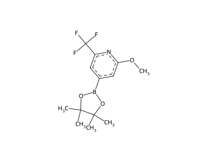 COc1cc(B2OC(C)(C)C(C)(C)O2)cc(C(F)(F)F)n1